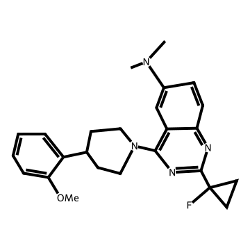 COc1ccccc1C1CCN(c2nc(C3(F)CC3)nc3ccc(N(C)C)cc23)CC1